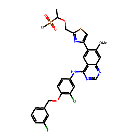 CCS(=O)(=O)C(C)OCc1nc(-c2cc3c(Nc4ccc(OCc5cccc(F)c5)c(Cl)c4)ncnc3cc2OC)cs1